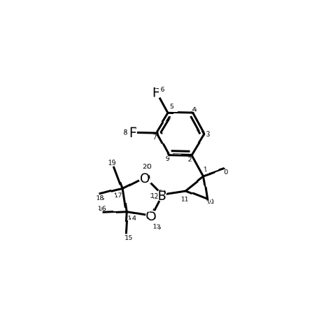 CC1(c2ccc(F)c(F)c2)CC1B1OC(C)(C)C(C)(C)O1